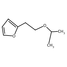 CC(C)OCCc1ccco1